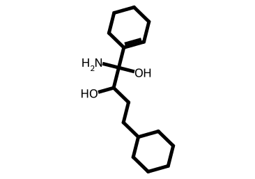 NC(O)(C1=CCCCC1)C(O)CCC1CCCCC1